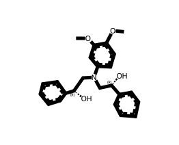 COc1ccc(N(C[C@H](O)c2ccccc2)C[C@H](O)c2ccccc2)cc1OC